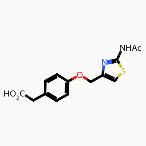 CC(=O)Nc1nc(COc2ccc(CC(=O)O)cc2)cs1